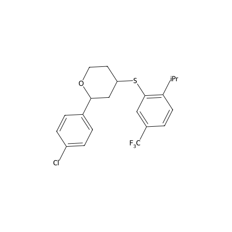 CC(C)c1ccc(C(F)(F)F)cc1SC1CCOC(c2ccc(Cl)cc2)C1